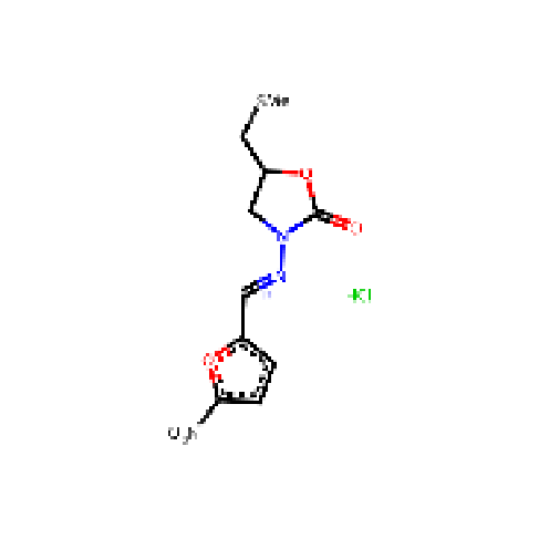 CSCC1CN(/N=C/c2ccc([N+](=O)[O-])o2)C(=O)O1.Cl